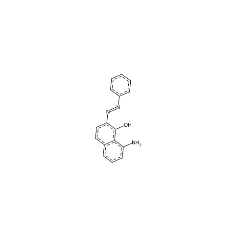 Nc1cccc2ccc(N=Nc3ccccc3)c(O)c12